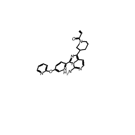 C=CC(=O)N1CCCC(c2nc(-c3ccc(Oc4ccccn4)cn3)n3c(N)nccc23)C1